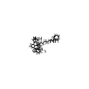 NC(=O)c1cccc(-c2cn[nH]c2)c1-c1nc(CCCCCNc2ccccc2)cn1-c1ccccc1